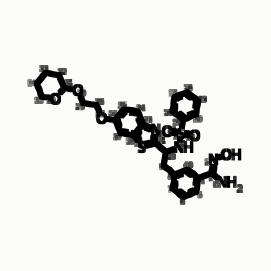 NC(=NO)c1cccc(CC(NS(=O)(=O)c2ccccc2)c2nc3ccc(OCCOC4CCCCO4)cc3s2)c1